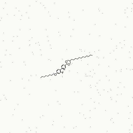 CCCCCCCCCCCCC1COC(c2ccc(-c3ccc(OCCCCCCCC)cc3F)nc2)OC1